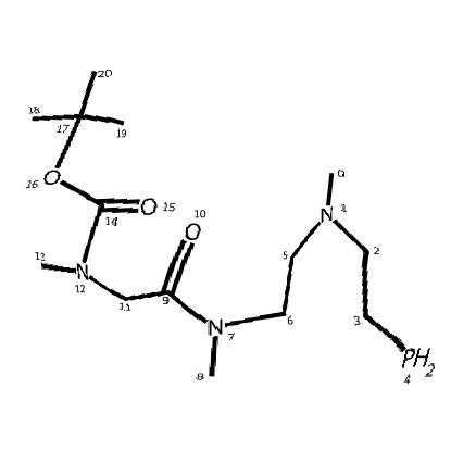 CN(CCP)CCN(C)C(=O)CN(C)C(=O)OC(C)(C)C